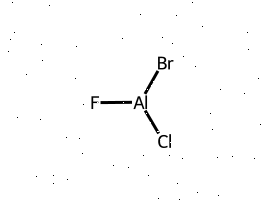 [F][Al]([Cl])[Br]